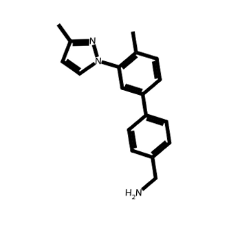 Cc1ccn(-c2cc(-c3ccc(CN)cc3)ccc2C)n1